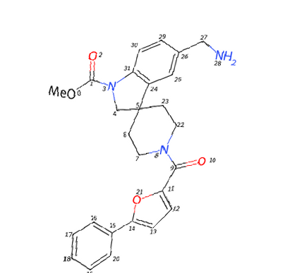 COC(=O)N1CC2(CCN(C(=O)c3ccc(-c4ccccc4)o3)CC2)c2cc(CN)ccc21